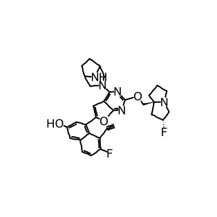 C#Cc1c(F)ccc2cc(O)cc(-c3cc4c(N5CC6CCC(C5)N6)nc(OC[C@@]56CCCN5C[C@H](F)C6)nc4o3)c12